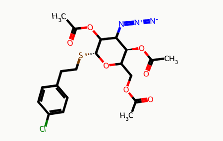 CC(=O)OCC1O[C@H](SCCc2ccc(Cl)cc2)C(OC(C)=O)C(N=[N+]=[N-])[C@H]1OC(C)=O